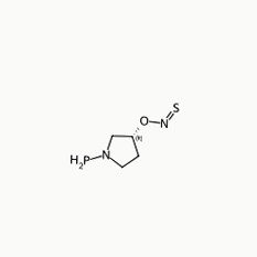 PN1CC[C@@H](ON=S)C1